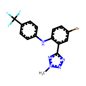 Cn1nnc(-c2cc(Br)ccc2Nc2ccc(C(F)(F)F)cc2)n1